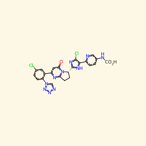 O=C(O)Nc1ccc(-c2[nH]c([C@@H]3CCc4nc(-c5cc(Cl)ccc5-n5cnnn5)cc(=O)n43)nc2Cl)nc1